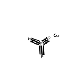 [Cu].[P]#[Fe](#[P])#[P]